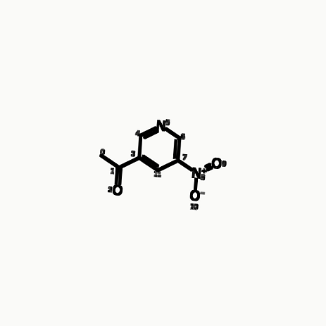 CC(=O)c1cncc([N+](=O)[O-])c1